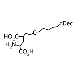 CCCCCCCCCCCCCCCCCCC(CC(N)C(=O)O)C(=O)O